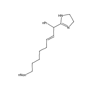 CCCCCCCCCCCCCCC=CC(CCC)C1=NCCN1